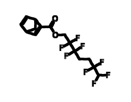 O=C(OCC(F)(F)C(F)(F)CCC(F)(F)C(F)F)C1=CC2C=CC1C2